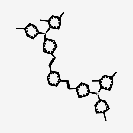 Cc1ccc(N(c2ccc(C=Cc3cccc(C=Cc4ccc(N(c5ccc(C)cc5)c5ccc(C)cc5C)cc4)c3)cc2)c2ccc(C)cc2C)cc1